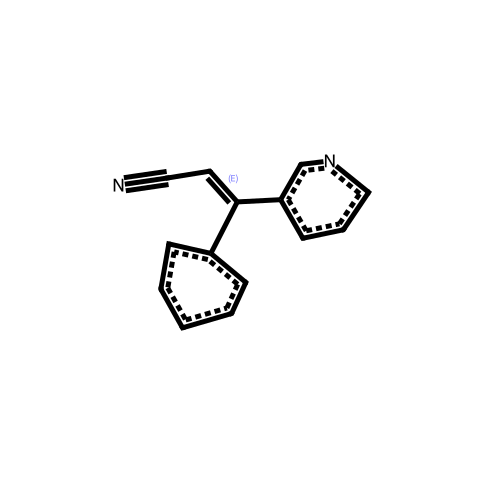 N#C/C=C(\c1ccccc1)c1cccnc1